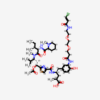 CC[C@H](C)[C@H](NC(=O)C1CCCCN1C)C(=O)N(C)[C@H](C[C@@H](OC(C)=O)c1nc(C(=O)N[C@@H](Cc2ccc(O)c(NC(=O)CCOCCOCCNC(=O)/C=C/Br)c2)CC(C)C(=O)O)cs1)C(C)C